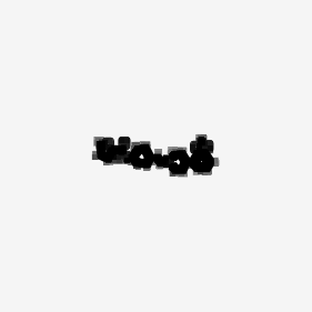 O=C(N[C@H]1CC[C@H](CCN2CCC(c3cccc4c3OCO4)CC2)CC1)C1CCCO1